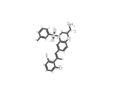 C/C(=C\c1ccc2c(c1)N(S(=O)(=O)c1cccc(C)c1)CC([C@@H](C)N)O2)c1c(F)cccc1Cl